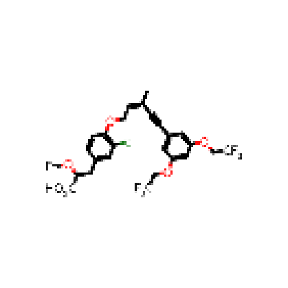 CCOC(Cc1ccc(OCC=C(C)C#Cc2cc(OCC(F)(F)F)cc(OCC(F)(F)F)c2)c(Cl)c1)C(=O)O